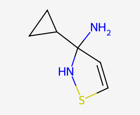 NC1(C2CC2)C=CSN1